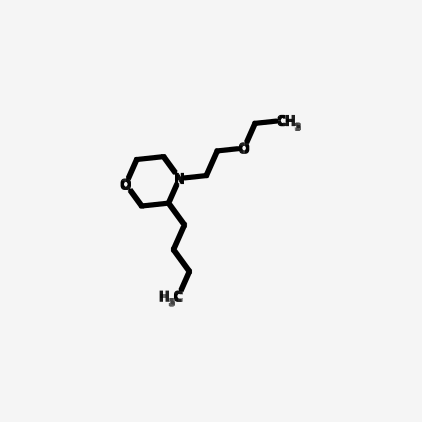 CCCCC1COCCN1CCOCC